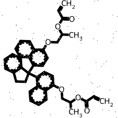 C=CC(=O)OC(C)COc1ccc(C2(c3ccc(OCC(C)OC(=O)C=C)c4ccccc34)CCc3ccccc32)c2ccccc12